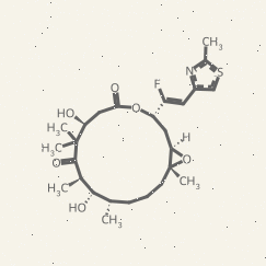 Cc1nc(C=C(F)[C@@H]2C[C@H]3O[C@]3(C)CCC[C@H](C)[C@H](O)[C@@H](C)C(=O)C(C)(C)[C@@H](O)CC(=O)O2)cs1